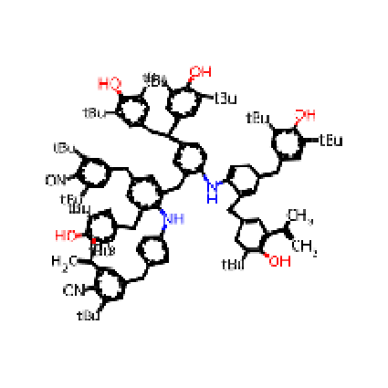 C=C(C)C1=C(O)C(C(C)(C)C)CC(CC2=CC(Cc3cc(C(C)(C)C)c(O)c(C(C)(C)C)c3)CC=C2Nc2ccc(C(Cc3cc(C(C)(C)C)c(O)c(C(C)(C)C)c3)c3cc(C(C)(C)C)c(O)c(C(C)(C)C)c3)cc2Cc2cc(Cc3cc(C(C)(C)C)c(N=O)c(C(C)(C)C)c3)cc(Cc3cc(C(C)(C)C)c(O)c(C(C)(C)C)c3)c2Nc2ccc(Cc3cc(C(=C)C)c(N=O)c(C(C)(C)C)c3)cc2)=C1